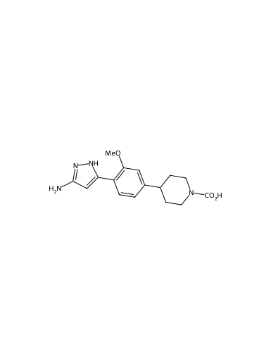 COc1cc(C2CCN(C(=O)O)CC2)ccc1-c1cc(N)n[nH]1